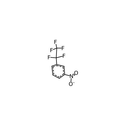 O=[N+]([O-])c1cccc(C(F)(F)C(F)(F)F)c1